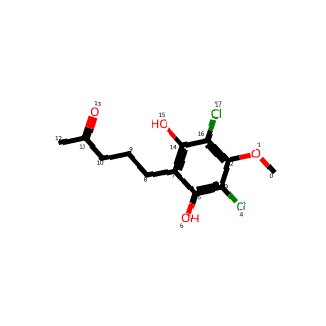 COc1c(Cl)c(O)c(CCCC(C)=O)c(O)c1Cl